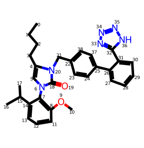 CCCCc1cn(-c2c(OC)cccc2C(C)C)c(=O)n1Cc1ccc(-c2ccccc2-c2nnn[nH]2)cc1